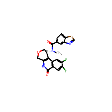 CN(C(=O)c1ccc2scnc2c1)[C@H]1COCc2[nH]c(=O)c3cc(F)c(F)cc3c21